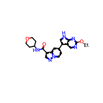 CCOc1ncc2c(-c3ccn4ncc(C(=O)NC5CCOCC5)c4c3)c[nH]c2n1